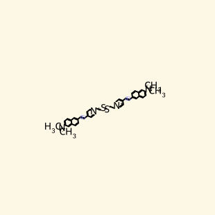 CN(C)c1ccc2cc(/C=C/c3cc[n+](CCSSCC[n+]4ccc(/C=C/c5ccc6cc(N(C)C)ccc6c5)cc4)cc3)ccc2c1